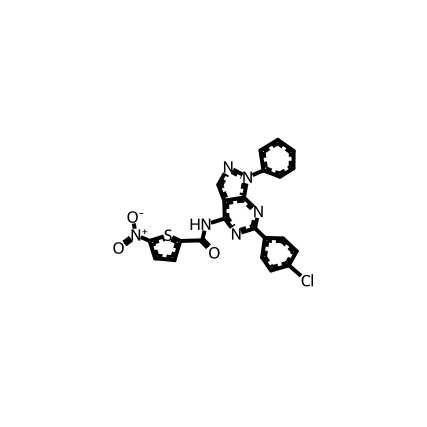 O=C(Nc1nc(-c2ccc(Cl)cc2)nc2c1cnn2-c1ccccc1)c1ccc([N+](=O)[O-])s1